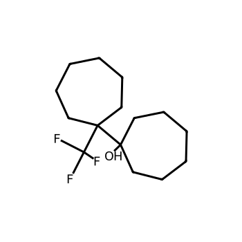 OC1(C2(C(F)(F)F)CCCCCC2)CCCCCC1